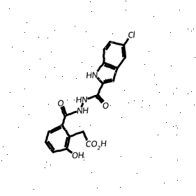 O=C(O)Cc1c(O)cccc1C(=O)NNC(=O)c1cc2cc(Cl)ccc2[nH]1